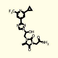 C=C1C(=O)N(CC(N)=O)C(=O)N1CC(O)n1cnc(-c2cc(C3CC3)nc(C(F)(F)F)c2)n1